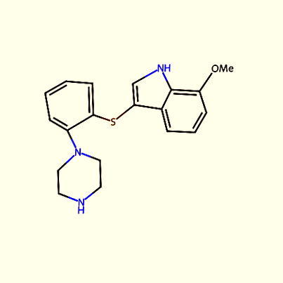 COc1cccc2c(Sc3ccccc3N3CCNCC3)c[nH]c12